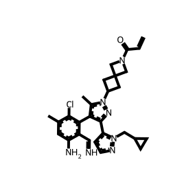 C=CC(=O)N1CC2(CC(n3nc(-c4ccnn4CC4CC4)c(-c4c(Cl)c(C)cc(N)c4C=N)c3C)C2)C1